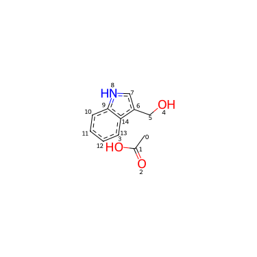 CC(=O)O.OCc1c[nH]c2ccccc12